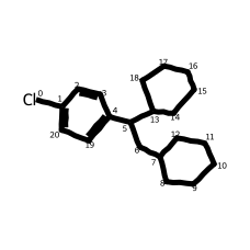 Clc1ccc(C(CC2CCCCC2)C2CCCCC2)cc1